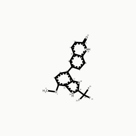 COc1ccc(-c2ccc3[nH]c(=O)ccc3c2)c2nc(C(F)(F)F)[nH]c12